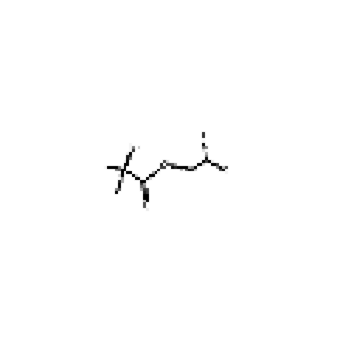 CCC(C)(C)C(=O)OCC(F)F